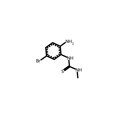 CNC(=S)Nc1cc(Br)ccc1N